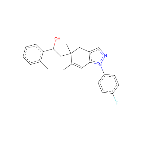 CC1=Cc2c(cnn2-c2ccc(F)cc2)CC1(C)CC(O)c1ccccc1C